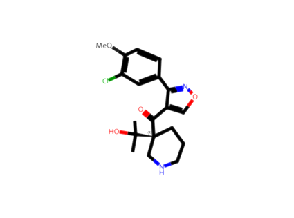 COc1ccc(-c2nocc2C(=O)[C@]2(C(C)(C)O)CCCNC2)cc1Cl